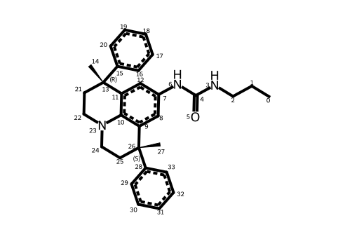 CCCNC(=O)Nc1cc2c3c(c1)[C@@](C)(c1ccccc1)CCN3CC[C@@]2(C)c1ccccc1